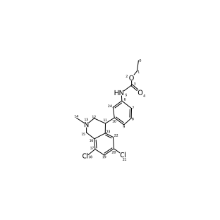 CCOC(=O)Nc1cccc(C2CN(C)Cc3c(Cl)cc(Cl)cc32)c1